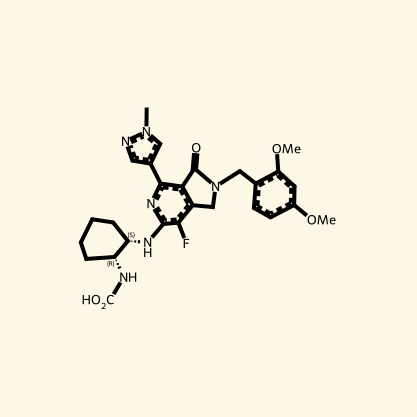 COc1ccc(CN2Cc3c(F)c(N[C@H]4CCCC[C@H]4NC(=O)O)nc(-c4cnn(C)c4)c3C2=O)c(OC)c1